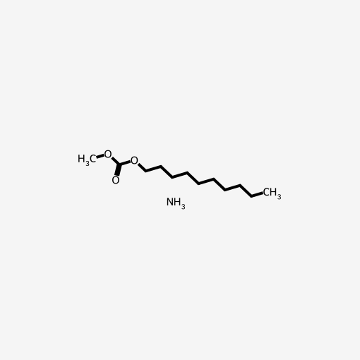 CCCCCCCCCCOC(=O)OC.N